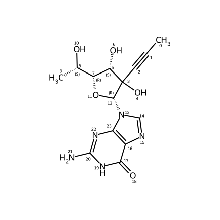 CC#CC1(O)[C@@H](O)[C@@H]([C@H](C)O)O[C@H]1n1cnc2c(=O)[nH]c(N)nc21